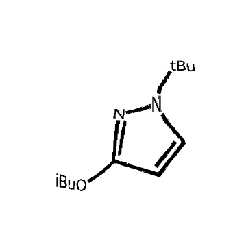 CC(C)COc1ccn(C(C)(C)C)n1